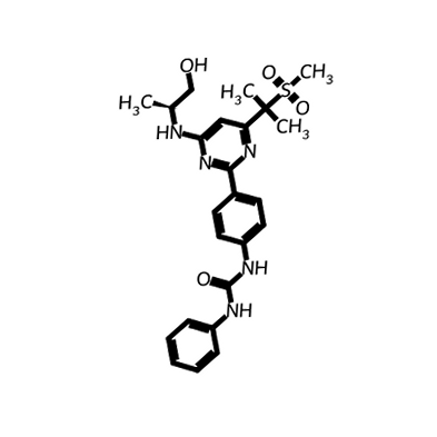 C[C@@H](CO)Nc1cc(C(C)(C)S(C)(=O)=O)nc(-c2ccc(NC(=O)Nc3ccccc3)cc2)n1